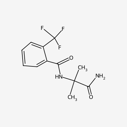 CC(C)(NC(=O)c1ccccc1C(F)(F)F)C(N)=O